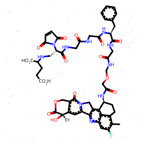 CC[C@@]1(O)C(=O)OCc2c1cc1n(c2=O)Cc2c-1nc1cc(F)c(C)c3c1c2[C@@H](NC(=O)COCNC(=O)CNC(=O)[C@H](Cc1ccccc1)NC(=O)CNC(=O)CNC(=O)[C@H](CNC(CCC(=O)O)C(=O)O)N1C(=O)C=CC1=O)CC3